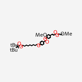 COCCOC(=O)/C=C/c1ccc(OC(=O)c2ccc(OCCCCCCCCCOC(=O)C(C)(CC(C)(C)C)C(C)(C)C)cc2)c(OC)c1